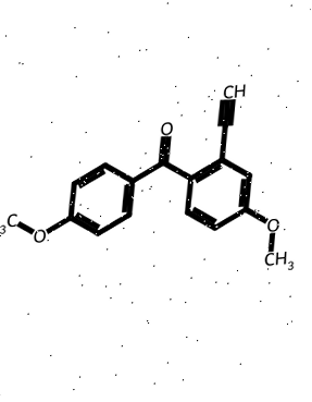 C#Cc1cc(OC)ccc1C(=O)c1ccc(OC)cc1